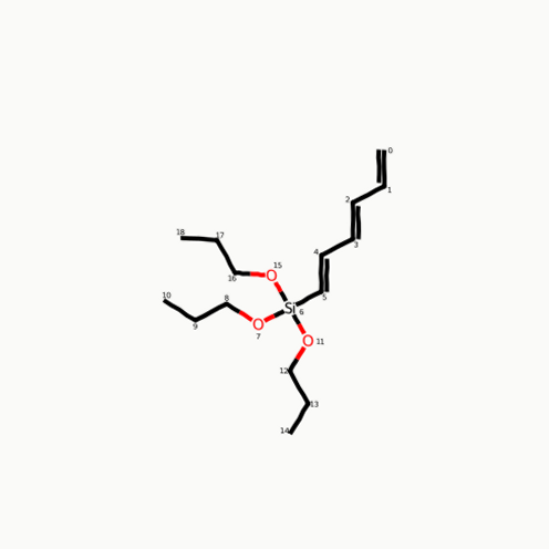 C=CC=CC=C[Si](OCCC)(OCCC)OCCC